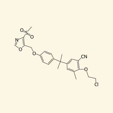 Cc1cc(C(C)(C)c2ccc(OCc3ocnc3S(C)(=O)=O)cc2)cc(C#N)c1OCCCl